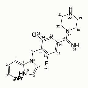 CCC/C=C\C=C1/NC=CN1Cc1c(F)cc(C(=N)N2CCNCC2)cc1Cl